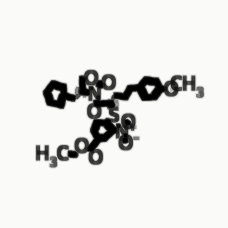 CCOC(=O)c1ccc(S[C@@H](CCCc2ccc(OC)cc2)C(=O)N2C(=O)OC[C@H]2Cc2ccccc2)c([N+](=O)[O-])c1